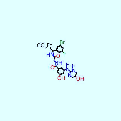 CCOC(=O)CC(NC(=O)CNC(=O)c1cc(O)cc(NC2=NCC(O)CN2)c1)c1cc(F)cc(Br)c1